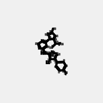 CCc1c(-c2ccc(F)cc2)n[nH]c1Nc1cc(-n2nc(C)cc2C(F)F)ncn1